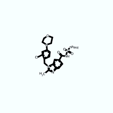 CCCCCS(=O)(=O)NC(=O)c1ccc2nc(C)n(Cc3ccc(N4CCOCC4)cc3Cl)c2c1